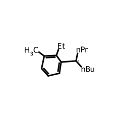 CCCC[C](CCC)c1cccc(C)c1CC